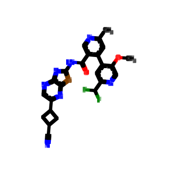 COc1cnc(C(F)F)cc1-c1cc(C)ncc1C(=O)Nc1nc2ncc(C3CC(C#N)C3)nc2s1